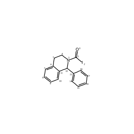 O=C(I)N1CCc2ccccc2C1c1ccccc1